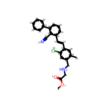 COC(=O)CNCc1cc(Cl)c(/C=C/c2cccc(-c3ccccc3)c2C#N)cc1C